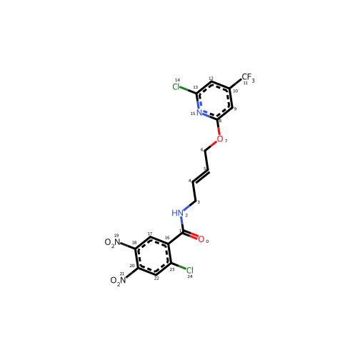 O=C(NC/C=C/COc1cc(C(F)(F)F)cc(Cl)n1)c1cc([N+](=O)[O-])c([N+](=O)[O-])cc1Cl